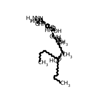 CCCCC/C=C\C/C=C\CCCCCCCCC(O)(CCCCCCCC/C=C\C/C=C\CCCCC)OCCCN(C)CCCCCCN/C=C(CNC(=O)CC[C@H](NC(=O)c1ccc(NCc2cnc3nc(N)[nH]c(=O)c3n2)cc1)C(=O)O)\N=N/C